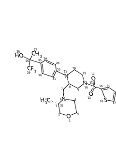 C[C@H]1COCCN1CC1CN(S(=O)(=O)c2cccs2)CCN1c1ccc(C(C)(O)C(F)(F)F)cc1